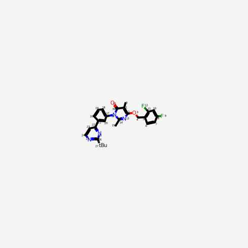 Cc1c(OCc2ccc(F)cc2F)nc(C)n(-c2cccc(-c3ccnc(C(C)(C)C)n3)c2)c1=O